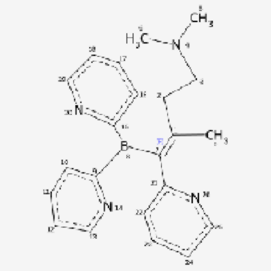 C/C(CCN(C)C)=C(/B(c1ccccn1)c1ccccn1)c1ccccn1